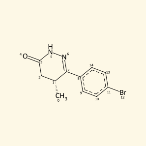 C[C@@H]1CC(=O)NN=C1c1ccc(Br)cc1